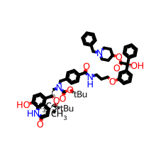 CC(C)(C)OC(=O)N(Cc1ccc(C(=O)NCCCOc2cccc([C@](O)(C(=O)OC3CCN(Cc4ccccc4)CC3)c3ccccc3)c2)cc1)C[C@H](O[Si](C)(C)C(C)(C)C)c1ccc(O)c2[nH]c(=O)ccc12